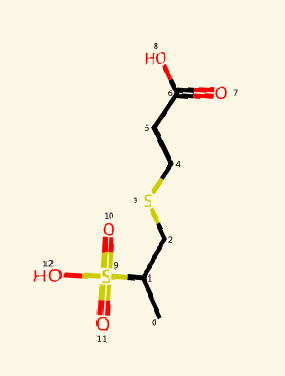 CC(CSCCC(=O)O)S(=O)(=O)O